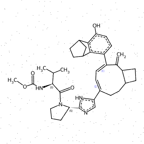 C=C1/C(c2ccc(O)c3c2C2CCC3C2)=C\C=C(\c2cnc([C@@H]3CCCN3C(=O)[C@@H](NC(=O)OC)C(C)C)[nH]2)CCC2CCC12